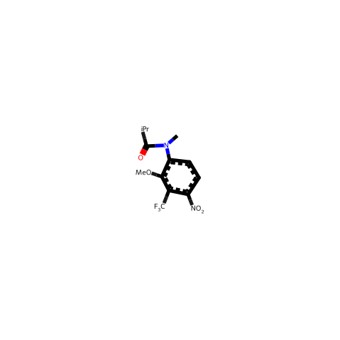 COc1c(N(C)C(=O)C(C)C)ccc([N+](=O)[O-])c1C(F)(F)F